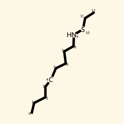 CCCCCCCCCNSCC